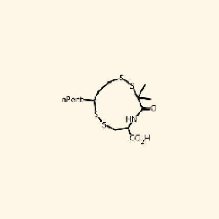 CCCCCC1CCSSC(C)(C)C(=O)NC(C(=O)O)CSS1